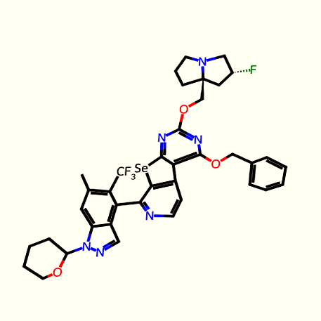 Cc1cc2c(cnn2C2CCCCO2)c(-c2nccc3c2[se]c2nc(OC[C@@]45CCCN4C[C@H](F)C5)nc(OCc4ccccc4)c23)c1C(F)(F)F